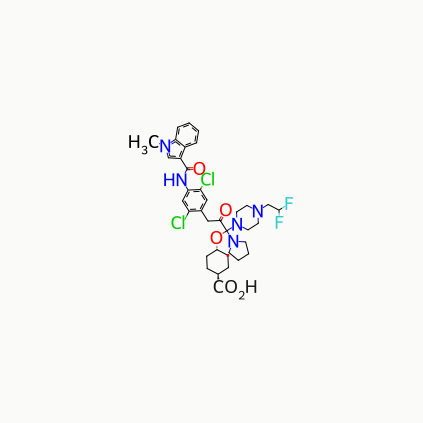 Cn1cc(C(=O)Nc2cc(Cl)c(CC(=O)C(O[C@H]3CC[C@H](C(=O)O)CC3)(N3CCCC3)N3CCN(CC(F)F)CC3)cc2Cl)c2ccccc21